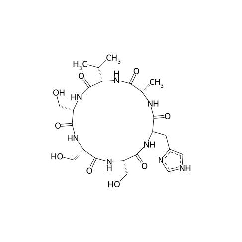 CC(C)[C@@H]1NC(=O)[C@H](C)NC(=O)C(Cc2c[nH]cn2)NC(=O)[C@H](CO)NC(=O)[C@H](CO)NC(=O)[C@H](CO)NC1=O